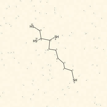 SCCCCCCC(S)C(S)CS